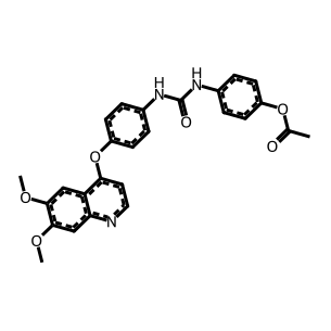 COc1cc2nccc(Oc3ccc(NC(=O)Nc4ccc(OC(C)=O)cc4)cc3)c2cc1OC